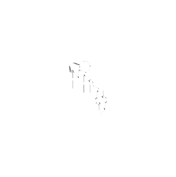 CCN1CCN(CCCN[C@H]2CCCC3=CC=CNC32)CC1